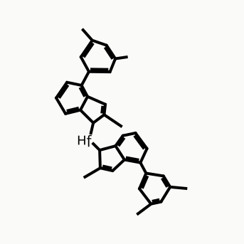 CC1=Cc2c(-c3cc(C)cc(C)c3)cccc2[CH]1[Hf][CH]1C(C)=Cc2c(-c3cc(C)cc(C)c3)cccc21